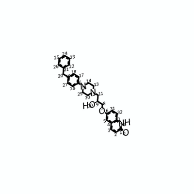 O=c1ccc2cc(OC[C@@H](O)CN3CCN(c4ccc(Cc5ccccc5)cc4)CC3)ccc2[nH]1